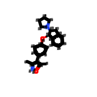 Cc1noc(C)c1-c1ccc(O[C@H]2c3ccccc3C[C@@H]2N2CCCC2)cc1